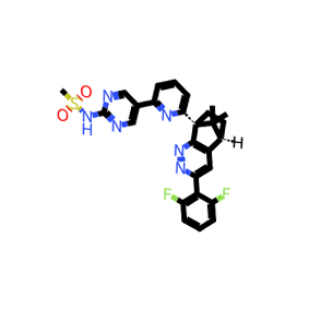 CC1(C)[C@H]2CC[C@]1(c1cccc(-c3cnc(NS(C)(=O)=O)nc3)n1)c1nnc(-c3c(F)cccc3F)cc12